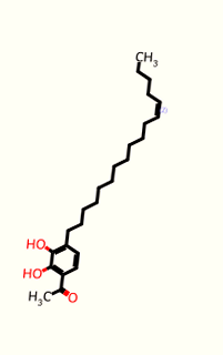 CCCC/C=C\CCCCCCCCCCCc1ccc(C(C)=O)c(O)c1O